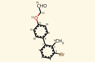 Cc1c(Br)cccc1-c1ccc(OCC=O)cc1